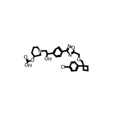 O=C(O)O[C@H]1CCCN(CC(O)c2ccc(-c3noc(COCC4(c5ccc(Cl)cc5)CCC4)n3)cc2)C1